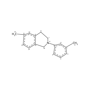 Cc1cccc(N2CCc3cc(C)ccc3C2)c1